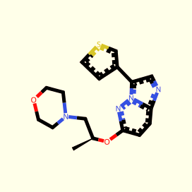 C[C@@H](CN1CCOCC1)Oc1ccc2ncc(-c3ccsc3)n2n1